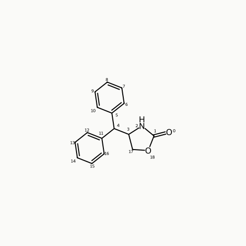 O=C1NC(C(c2ccccc2)c2ccccc2)CO1